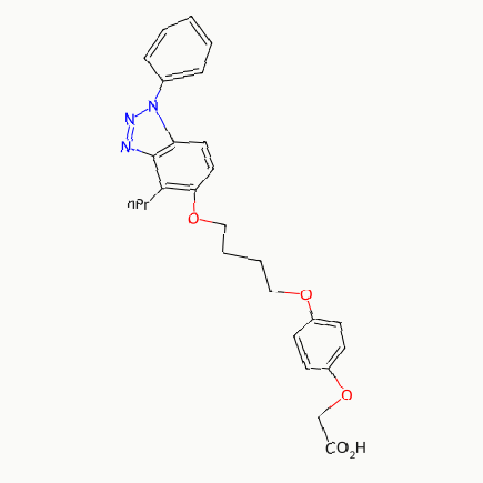 CCCc1c(OCCCCOc2ccc(OCC(=O)O)cc2)ccc2c1nnn2-c1ccccc1